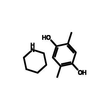 C1CCNCC1.Cc1cc(O)c(C)cc1O